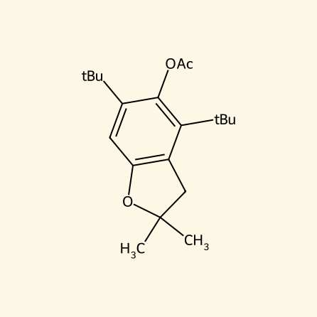 CC(=O)Oc1c(C(C)(C)C)cc2c(c1C(C)(C)C)CC(C)(C)O2